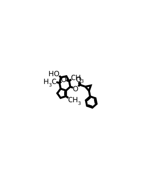 CC1=C2C(OC(=O)C3CC3c3ccccc3)C3(C)CC(O)C(C)(O3)C2CC1